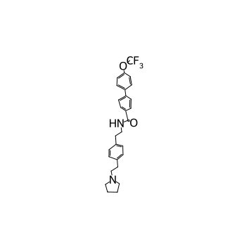 O=C(NCCc1ccc(CCN2CCCC2)cc1)c1ccc(-c2ccc(OC(F)(F)F)cc2)cc1